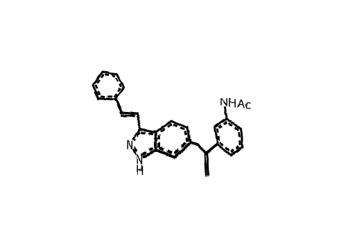 C=C(c1cccc(NC(C)=O)c1)c1ccc2c(C=Cc3ccccc3)n[nH]c2c1